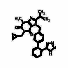 CC(C)c1nc2c(c(=O)n(CC3CC3)c(=O)n2C)n1Cc1ccc(-c2ccccc2-c2nnn[nH]2)cc1